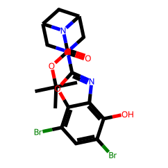 CC(C)(C)OC(=O)N1C2CC1CN(c1nc3c(O)c(Br)cc(Br)c3o1)C2